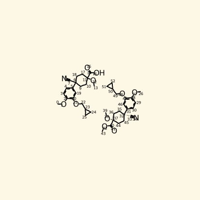 COc1ccc(C2(C#N)CCC(OC)(C(=O)O)CC2)cc1OCC1CC1.COc1ccc([C@]2(C#N)CC[C@](OC)(C(=O)OC)CC2)cc1OCC1CC1